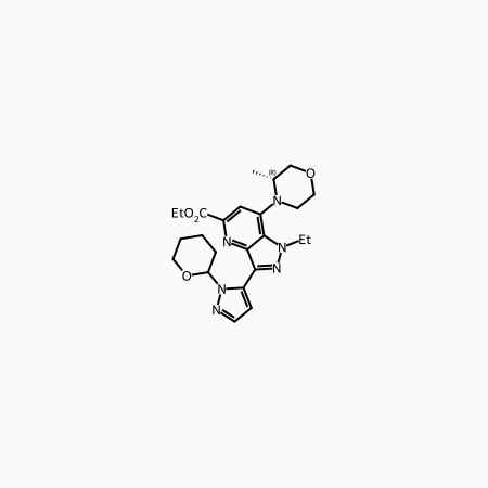 CCOC(=O)c1cc(N2CCOC[C@H]2C)c2c(n1)c(-c1ccnn1C1CCCCO1)nn2CC